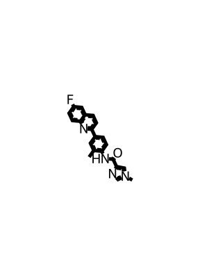 Cc1cc(-c2ccc3cc(F)ccc3n2)ccc1NC(=O)c1cn(C)cn1